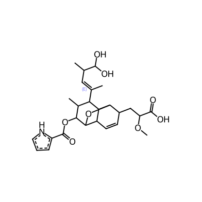 COC(CC1C=CC2C3OC1C2C(/C(C)=C/C(C)C(O)O)C(C)C3OC(=O)c1ccc[nH]1)C(=O)O